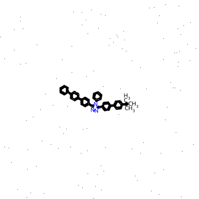 CC(C)(C)c1ccc(-c2ccc(-c3nnc(-c4ccc(-c5ccc(-c6ccccc6)cc5)cc4)n3-c3ccccc3)cc2)cc1